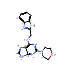 c1ccc2[nH]c(CNc3nc(N4CCOCC4)nc4[nH]cnc34)nc2c1